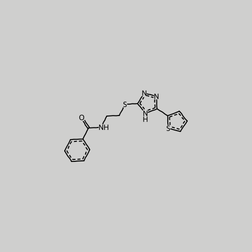 O=C(NCCSc1nnc(-c2cccs2)[nH]1)c1ccccc1